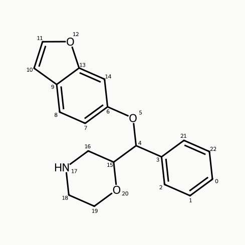 c1ccc(C(Oc2ccc3ccoc3c2)C2CNCCO2)cc1